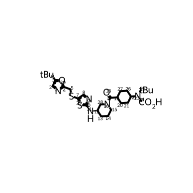 CC(C)(C)c1cnc(CSc2cnc(N[C@@H]3CCCN(C(=O)C4CCC(N(C(=O)O)C(C)(C)C)CC4)C3)s2)o1